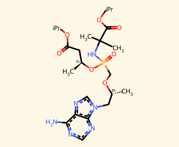 CC(C)OC(=O)C[C@H](C)OP(=O)(CO[C@H](C)Cn1cnc2c(N)ncnc21)NC(C)(C)C(=O)OC(C)C